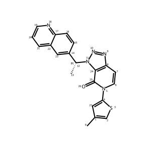 Cc1csc(-n2ccc3nnn([C@H](C)c4ccc5ncccc5c4)c3c2=O)c1